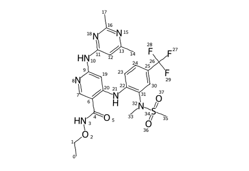 CCONC(=O)c1cnc(Nc2cc(C)nc(C)n2)cc1Nc1ccc(C(F)(F)F)cc1N(C)S(C)(=O)=O